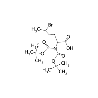 CC(Br)CCC(C(=O)O)N(C(=O)OC(C)(C)C)C(=O)OC(C)(C)C